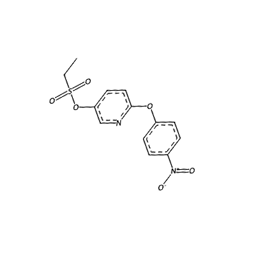 CCS(=O)(=O)Oc1ccc(Oc2ccc([N+](=O)[O-])cc2)nc1